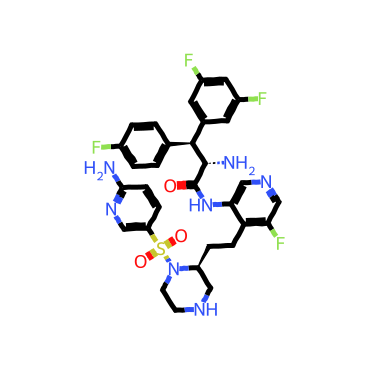 Nc1ccc(S(=O)(=O)N2CCNC[C@@H]2CCc2c(F)cncc2NC(=O)[C@@H](N)[C@@H](c2ccc(F)cc2)c2cc(F)cc(F)c2)cn1